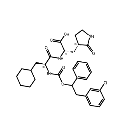 O=C(N[C@@H](CC1CCCCC1)C(=O)N[C@@H](C[C@@H]1CCNC1=O)C(=O)O)OC(Cc1cccc(Cl)c1)c1ccccc1